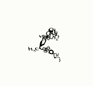 Cc1ccc(S(=O)(=O)OC[C@H](C)C2CCN(NC(=O)OC(C)(C)C)CC2)cc1